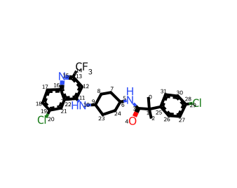 CC(C)(C(=O)NC1CCC(Nc2cc(C(F)(F)F)nc3ccc(Cl)cc23)CC1)c1ccc(Cl)cc1